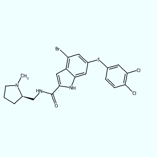 CN1CCC[C@@H]1CNC(=O)c1cc2c(Br)cc(Sc3ccc(Cl)c(Cl)c3)cc2[nH]1